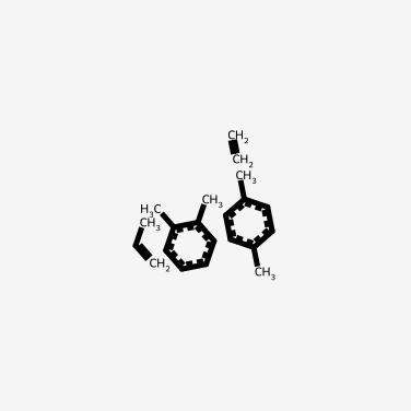 C=C.C=CC.Cc1ccc(C)cc1.Cc1ccccc1C